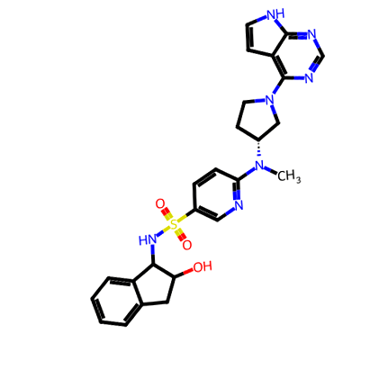 CN(c1ccc(S(=O)(=O)NC2c3ccccc3CC2O)cn1)[C@@H]1CCN(c2ncnc3[nH]ccc23)C1